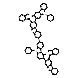 c1ccc(-n2c3ccccc3c3cc4c(cc32)c2cc3c(cc2c2c5ccccc5cn42)sc2cc(-c4ccc5c6c(ccc7c8cc9sc%10ccccc%10c9cc8c8c9ccccc9cn8c76)n(-c6ccccc6)c5c4)ccc23)cc1